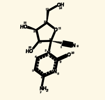 N#C[C@@]1(n2ccc(N)nc2=O)O[C@H](CO)[C@H](O)C1O